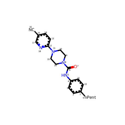 CCCCCc1ccc(NC(=O)N2CCN(c3ccc(C#N)cn3)CC2)cc1